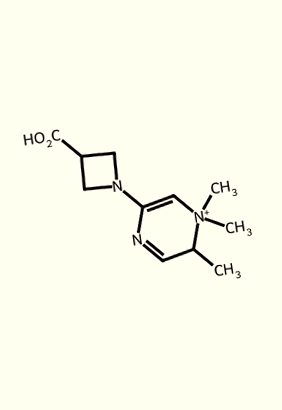 CC1C=NC(N2CC(C(=O)O)C2)=C[N+]1(C)C